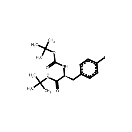 CC(C)(C)NC(=O)[C@H](Cc1ccc(I)cc1)NC(=O)OC(C)(C)C